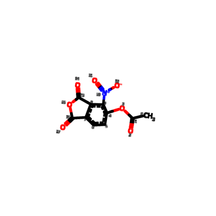 CC(=O)Oc1ccc2c(c1[N+](=O)[O-])C(=O)OC2=O